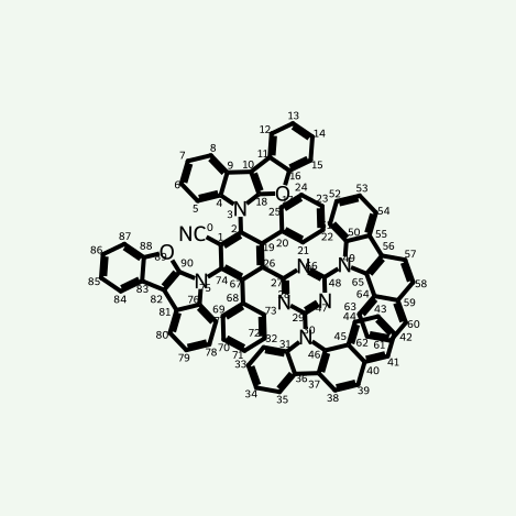 N#Cc1c(-n2c3ccccc3c3c4ccccc4oc32)c(-c2ccccc2)c(-c2nc(-n3c4ccccc4c4ccc5ccccc5c43)nc(-n3c4ccccc4c4ccc5ccccc5c43)n2)c(-c2ccccc2)c1-n1c2ccccc2c2c3ccccc3oc21